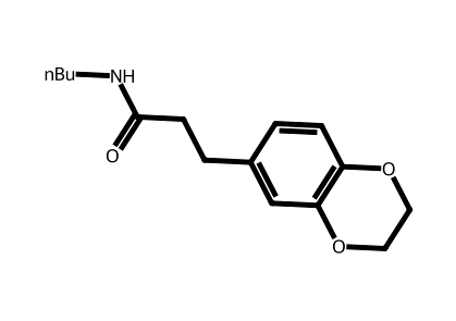 CCCCNC(=O)CCc1ccc2c(c1)OCCO2